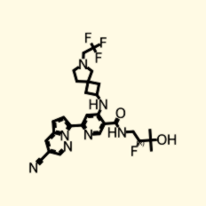 CC(C)(O)[C@H](F)CNC(=O)c1cnc(-c2ccc3cc(C#N)cnn23)cc1NC1CC2(CCN(CC(F)(F)F)C2)C1